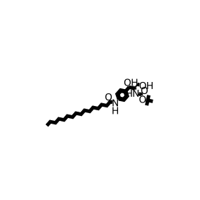 CCCCCCCCCCCCCCCC(=O)Nc1ccc(C(O)[C@@H](CO)NC(=O)OC(C)(C)C)cc1